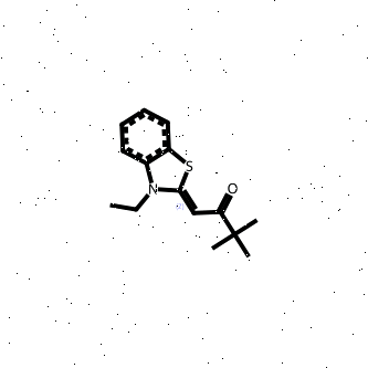 CCN1/C(=C/C(=O)C(C)(C)C)Sc2ccccc21